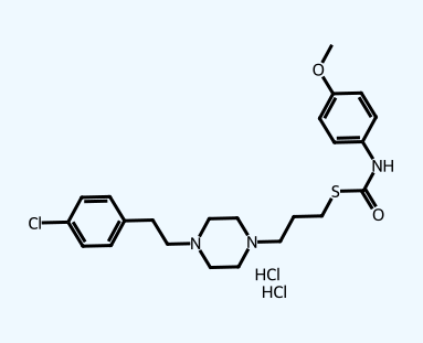 COc1ccc(NC(=O)SCCCN2CCN(CCc3ccc(Cl)cc3)CC2)cc1.Cl.Cl